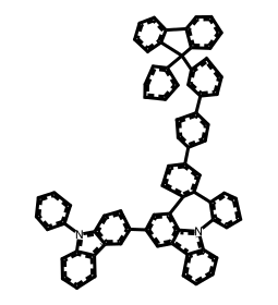 c1ccc(-n2c3ccccc3c3cc(-c4cc5c6c(c4)c4ccccc4n6-c4ccccc4-c4cc(-c6ccc(-c7cccc(C8(c9ccccc9)c9ccccc9-c9ccccc98)c7)cc6)ccc4-5)ccc32)cc1